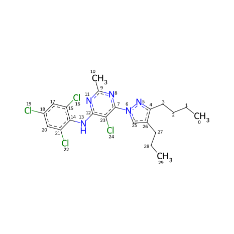 CCCCc1nn(-c2nc(C)nc(Nc3c(Cl)cc(Cl)cc3Cl)c2Cl)cc1CCC